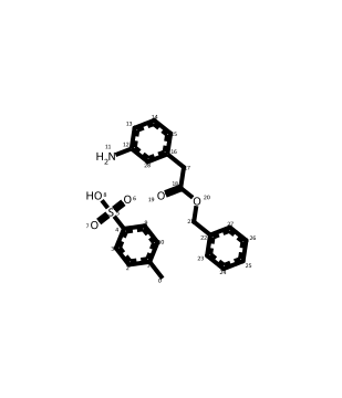 Cc1ccc(S(=O)(=O)O)cc1.Nc1cccc(CC(=O)OCc2ccccc2)c1